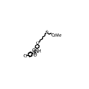 COCCN(C)CCCCCCOC1CCC(NS(=O)(=O)c2ccc(Cl)cc2)CC1